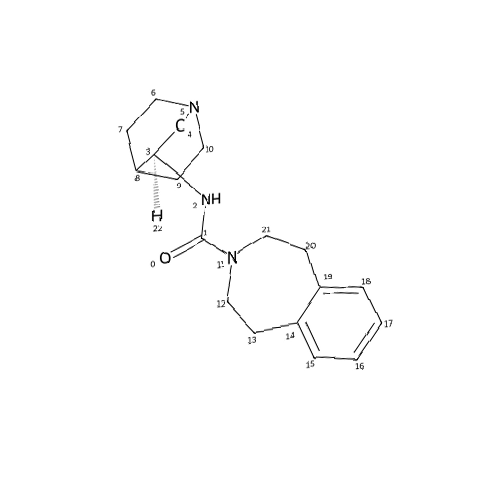 O=C(N[C@@H]1CN2CCC1CC2)N1CCc2ccccc2CC1